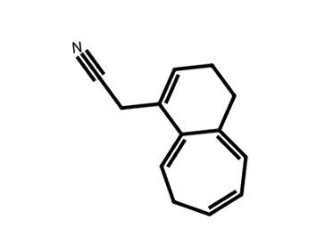 N#CCC1=CCCC2=CC=CCC=C12